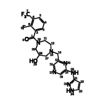 O=C(c1cccc(C(F)(F)F)c1F)N1CCN(Cc2cncc(Nc3cc[nH]n3)n2)CC(O)C1